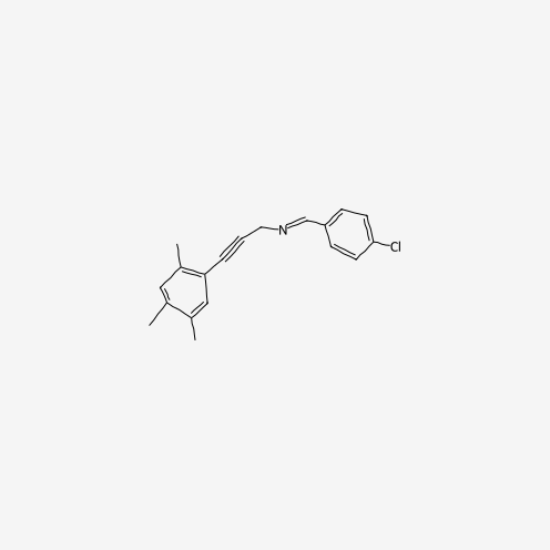 Cc1cc(C)c(C#CCN=Cc2ccc(Cl)cc2)cc1C